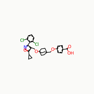 O=C(O)c1ccc(OCC23CCC(OCc4c(-c5c(Cl)cccc5Cl)noc4C4CC4)(CC2)CC3)cc1